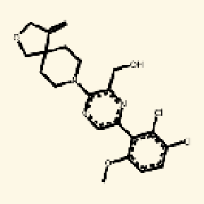 C=C1COCC12CCN(c1ncc(-c3c(OC)ccc(Cl)c3Cl)nc1CO)CC2